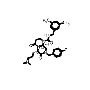 CN(C)CCC[C@H]1C(=O)N(Cc2ccc(F)cc2)C[C@@H]2N(C(=O)NCc3cc(C(F)(F)F)cc(C(F)(F)F)c3)CCC(=O)N21